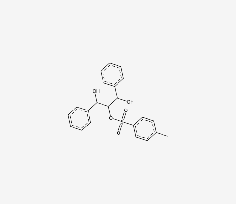 Cc1ccc(S(=O)(=O)OC(C(O)c2ccccc2)C(O)c2ccccc2)cc1